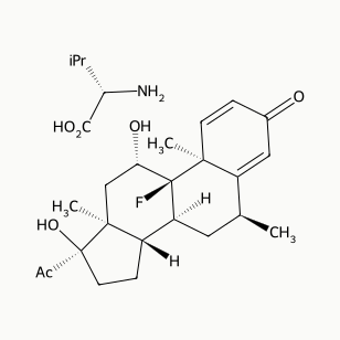 CC(=O)[C@@]1(O)CC[C@H]2[C@@H]3C[C@H](C)C4=CC(=O)C=C[C@]4(C)[C@@]3(F)[C@@H](O)C[C@@]21C.CC(C)[C@H](N)C(=O)O